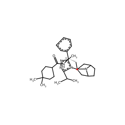 Cc1nnc(C(C)C)n1C1CC2CCC(C1)N2CC[C@H](NC(=O)C1CCC(C)(C)CC1)c1ccccc1